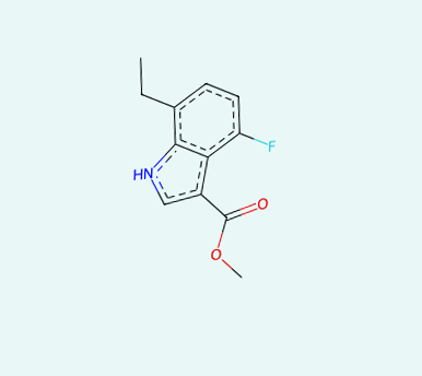 CCc1ccc(F)c2c(C(=O)OC)c[nH]c12